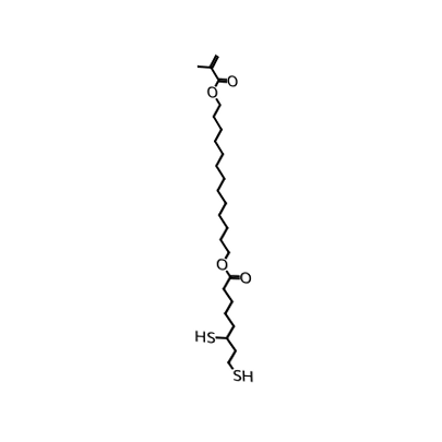 C=C(C)C(=O)OCCCCCCCCCCCCCOC(=O)CCCCC(S)CCS